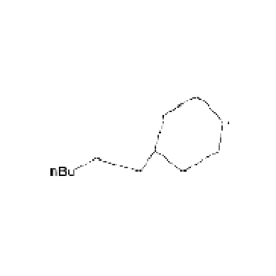 CCCCCCC1CC[CH]CC1